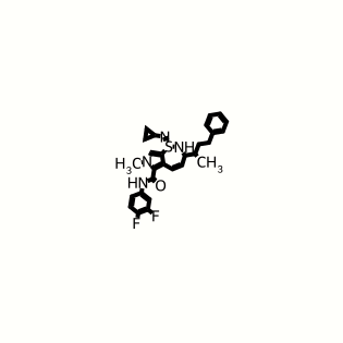 CC(CCc1ccccc1)C1C=Cc2c(cn(C)c2C(=O)Nc2ccc(F)c(F)c2)/S(=N\C2CC2)N1